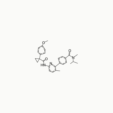 COc1ccc(C2(C(=O)Nc3ccc(C)c(-c4ccc(C(=O)N(C)C(C)C)cc4)n3)CC2)cc1